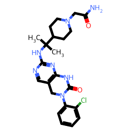 CC(C)(Nc1ncc2c(n1)NC(=O)N(c1ccccc1Cl)C2)C1CCN(CC(N)=O)CC1